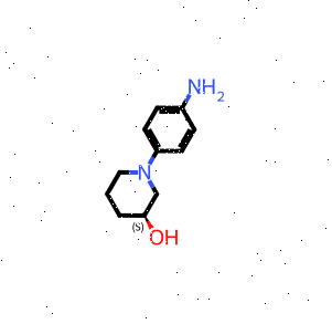 Nc1ccc(N2CCC[C@H](O)C2)cc1